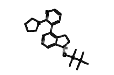 CC(C)(C)[Si](C)(C)O[C@H]1CCc2c(-c3cccnc3N3CCCC3)cccc21